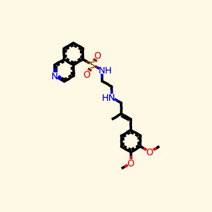 COc1ccc(/C=C(\C)CNCCNS(=O)(=O)c2cccc3cnccc23)cc1OC